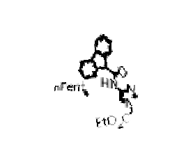 CCCCCC.CCOC(=O)Cn1cnc(NC(=O)C2c3ccccc3-c3ccccc32)c1